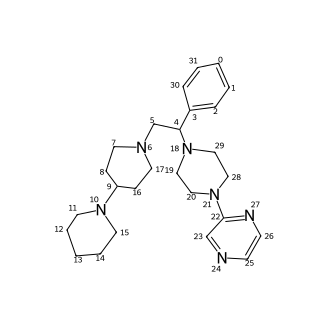 c1ccc(C(CN2CCC(N3CCCCC3)CC2)N2CCN(c3cnccn3)CC2)cc1